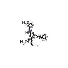 CCCN(CCC)c1cc(N/N=C/c2cccc(C)c2)nc(CCCOc2cccnc2)n1